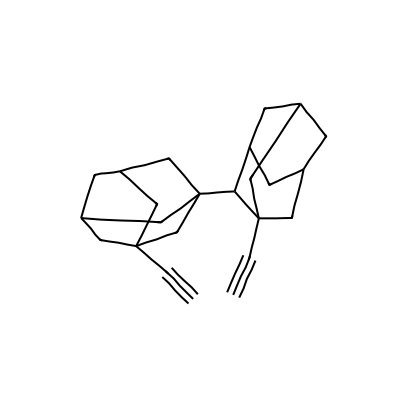 C#CC12CC3CC(C1)CC(C1C4CC5CC(C4)CC1(C#C)C5)(C3)C2